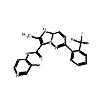 CC1=C(C(=O)Nc2ccncc2F)N2N=C(c3ccccc3C(F)(F)F)C=CC2N1